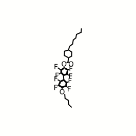 CCCCCCCC1CCC(C(=O)Oc2c(F)c(F)c(-c3c(F)c(F)c(OCCCCC)c(F)c3F)c(F)c2F)CC1